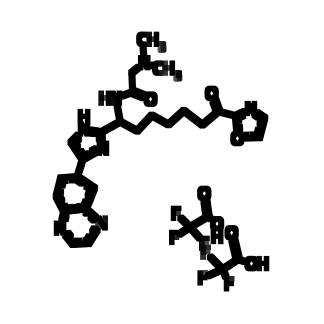 CN(C)CC(=O)NC(CCCCCC(=O)c1ncco1)c1nc(-c2ccc3nccnc3c2)c[nH]1.O=C(O)C(F)(F)F.O=C(O)C(F)(F)F